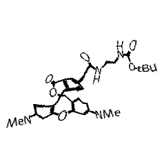 CNC1=CC2=C(CC1)C1(OC(=O)c3cc(C(=O)NCCNC(=O)OC(C)(C)C)ccc31)C1=C(CC(NC)C=C1)O2